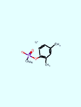 COP(=O)([O-])Oc1ccc(C)cc1C.[Li+]